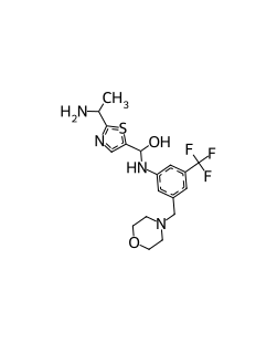 CC(N)c1ncc(C(O)Nc2cc(CN3CCOCC3)cc(C(F)(F)F)c2)s1